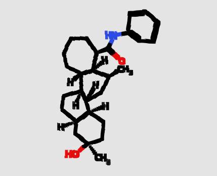 C[C@H]1C[C@H]2[C@@H](CC[C@@H]3C[C@](C)(O)CC[C@@H]32)[C@@H]2CCCC[C@@H](C(=O)Nc3ccccc3)[C@H]21